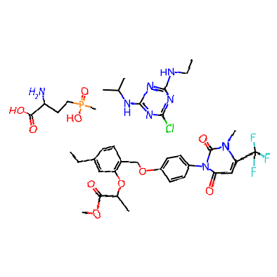 CCNc1nc(Cl)nc(NC(C)C)n1.CCc1ccc(COc2ccc(-n3c(=O)cc(C(F)(F)F)n(C)c3=O)cc2)c(OC(C)C(=O)OC)c1.CP(=O)(O)CCC(N)C(=O)O